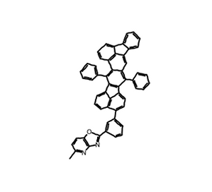 Cc1ccc2oc(-c3cccc(-c4ccc5c6c(-c7ccccc7)c7cc8c9ccccc9c9cccc(c7c(-c7ccccc7)c6c6cccc4c56)c98)c3)nc2n1